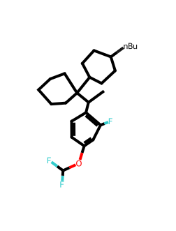 CCCCC1CCC(C2(C(C)c3ccc(OC(F)F)cc3F)CCCCC2)CC1